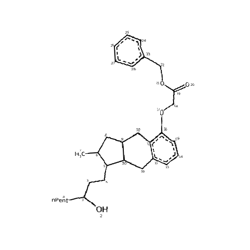 CCCCCC(O)CCC1C(C)CC2Cc3c(cccc3OCC(=O)OCc3ccccc3)CC21